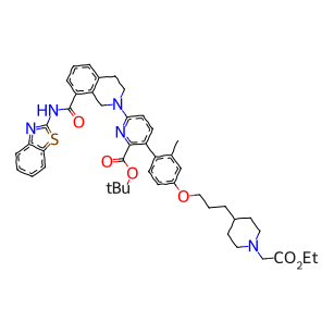 CCOC(=O)CN1CCC(CCCOc2ccc(-c3ccc(N4CCc5cccc(C(=O)Nc6nc7ccccc7s6)c5C4)nc3C(=O)OC(C)(C)C)c(C)c2)CC1